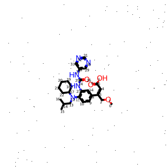 COC/C(=C/C(=O)O)c1ccc(N(CC(C)C)C2CCCCC2)c(NC(=O)Nc2cncnc2)c1